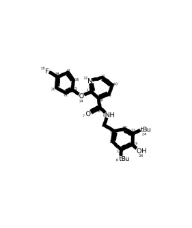 CC(C)(C)c1cc(CNC(=O)c2cccnc2Oc2ccc(F)cc2)cc(C(C)(C)C)c1O